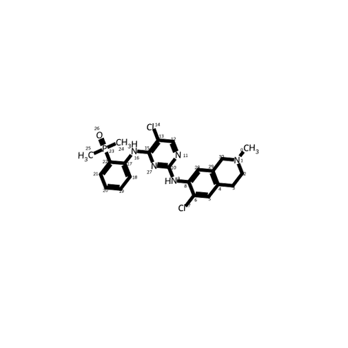 CN1CCc2cc(Cl)c(Nc3ncc(Cl)c(Nc4ccccc4P(C)(C)=O)n3)cc2C1